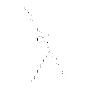 CCCCCCCCCCCCC(CCCCCCCCCC)COC(=O)C1=CC=CN(CCCCCCCCCCCC)C1Cl